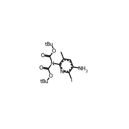 Cc1cc(N)c(I)nc1N(C(=O)OC(C)(C)C)C(=O)OC(C)(C)C